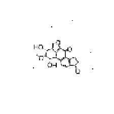 CO[C@@H]1[C@H](O)c2coc3c2[C@@](C)(c2ccc4c(c2C3=O)CCC4=O)[C@@H]1O